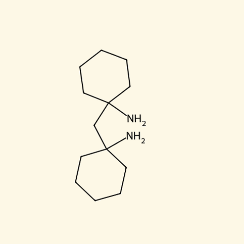 NC1(CC2(N)CCCCC2)CCCCC1